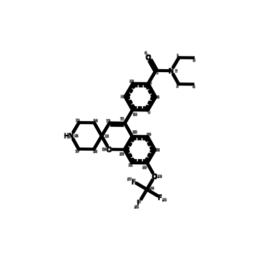 CCN(CC)C(=O)c1ccc(C2=CC3(CCNCC3)Oc3cc(OC(F)(F)F)ccc32)cc1